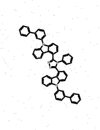 c1ccc(-c2cccc(-n3c4ccccc4c4c(-c5nnc(-c6cccc7c6c6ccccc6n7-c6cccc(-c7ccccc7)c6)n5-c5ccccc5)cccc43)c2)cc1